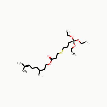 CCO[Si](CCCSCCC(=O)OCCC(C)CCC=C(C)C)(OCC)OCC